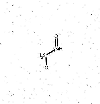 [O][SiH2][SiH]=O